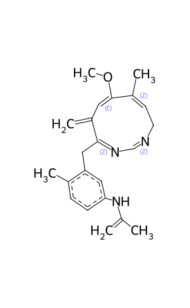 C=C(C)Nc1ccc(C)c(C/C2=N/C=N\C/C=C(C)\C(OC)=C/C2=C)c1